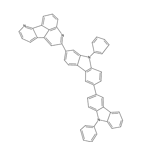 c1ccc(-n2c3ccccc3c3cc(-c4ccc5c(c4)c4ccc(-c6cc7c8c(cccc8n6)-c6ncccc6-7)cc4n5-c4ccccc4)ccc32)cc1